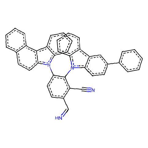 N#Cc1c(C=N)ccc(-n2c3ccccc3c3c4ccccc4ccc32)c1-n1c2ccccc2c2cc(-c3ccccc3)ccc21